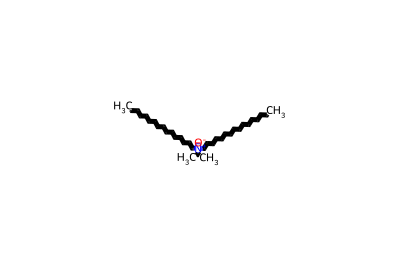 CCCCCCCCCCCCCCCC[N+]([O-])(CCCCCCCCCCCCCCCC)C(C)C